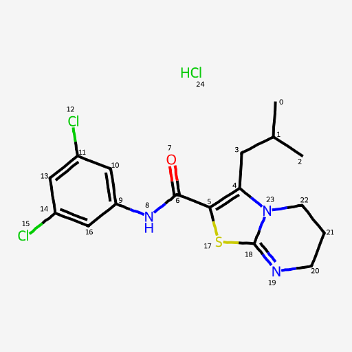 CC(C)CC1=C(C(=O)Nc2cc(Cl)cc(Cl)c2)SC2=NCCCN21.Cl